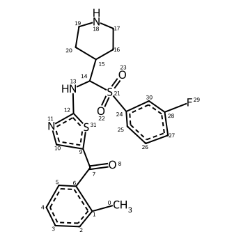 Cc1ccccc1C(=O)c1cnc(NC(C2CCNCC2)S(=O)(=O)c2cccc(F)c2)s1